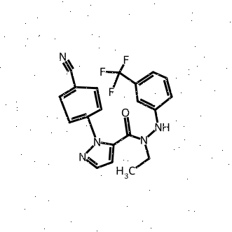 CCN(Nc1cccc(C(F)(F)F)c1)C(=O)c1ccnn1-c1ccc(C#N)cc1